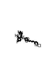 C[C@@H](SC1COC(C=CC=Cc2ccc(Cl)nc2)OC1)[C@](O)(Cn1cncn1)c1ccc(F)cc1F